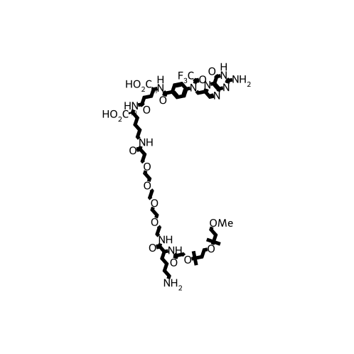 COCCC(C)(C)OCCC(C)(C)OCC(=O)NC(CCCCN)C(=O)NCCOCCOCCOCCOCCC(=O)NCCCC[C@H](NC(=O)CC[C@H](NC(=O)c1ccc(N(Cc2cnc3nc(N)[nH]c(=O)c3n2)C(=O)C(F)(F)F)cc1)C(=O)O)C(=O)O